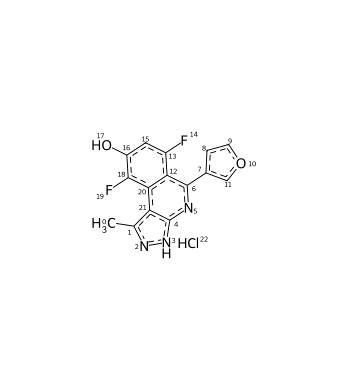 Cc1n[nH]c2nc(-c3ccoc3)c3c(F)cc(O)c(F)c3c12.Cl